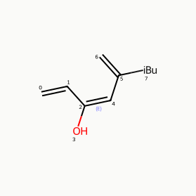 C=C/C(O)=C\C(=C)C(C)CC